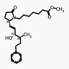 COC(=O)CCCCCCN1C(=O)CC[C@@H]1C=C[C@@H](O)[C@@H](C)CCc1ccccc1